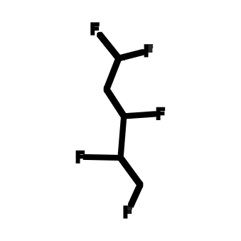 FCC(F)C(F)C[C](F)F